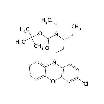 CC[C@H](CCN1c2ccccc2Oc2cc(Cl)ccc21)N(CC)C(=O)OC(C)(C)C